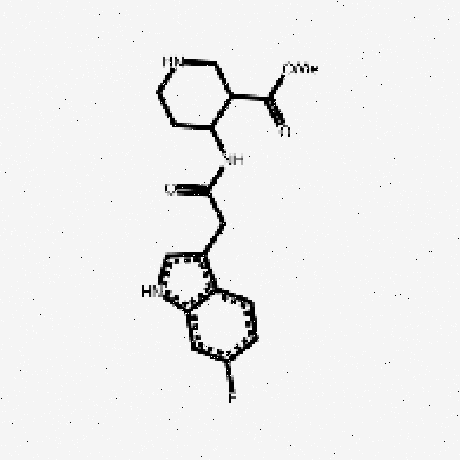 COC(=O)C1CNCCC1NC(=O)Cc1c[nH]c2cc(F)ccc12